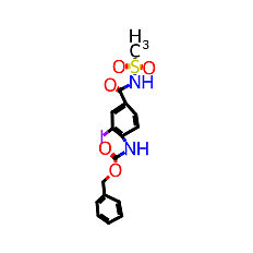 CS(=O)(=O)NC(=O)c1ccc(NC(=O)OCc2ccccc2)c(I)c1